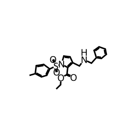 CCOC(=O)c1c(CNCc2ccccc2)ccn1S(=O)(=O)c1ccc(C)cc1